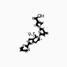 CC1c2cnc(-c3ncccn3)nc2CCN1c1cc(F)cc(N2CC(C(=O)O)C2)n1